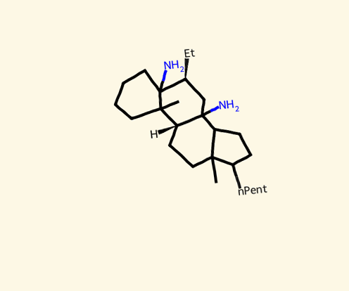 CCCCCC1CCC2C1(C)CC[C@H]1C2(N)C[C@H](CC)C2(N)CCCCC12C